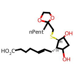 CCCCCC1(CS[C@H]2C(O)CC(O)[C@@H]2CC=CCCCC(=O)O)OCCO1